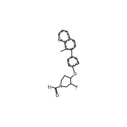 CCC(=O)N1CCC(Oc2ccc(-c3ccc4cccnc4c3C)cc2)C(F)C1